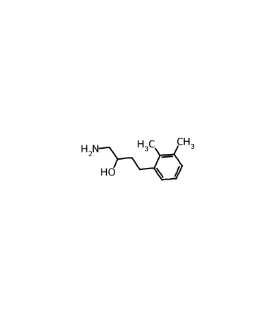 Cc1cccc(CCC(O)CN)c1C